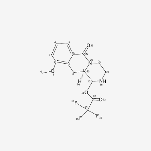 COc1cccc2c1C[C@@H]1C(OC(=O)C(F)(F)F)NCCN1C2=O